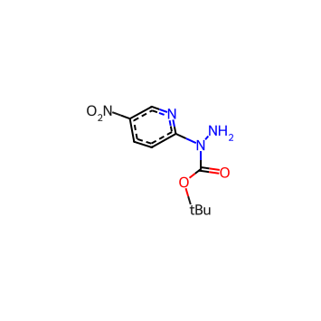 CC(C)(C)OC(=O)N(N)c1ccc([N+](=O)[O-])cn1